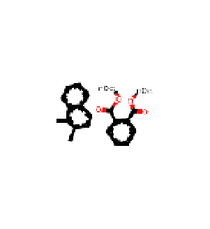 CCCCCCCCOC(=O)c1ccccc1C(=O)OCCCCCCCC.Cc1ccc2ccccc2c1C